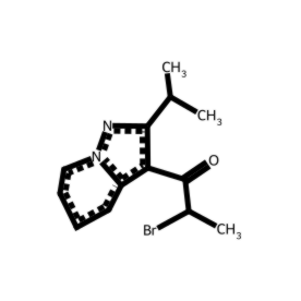 CC(Br)C(=O)c1c(C(C)C)nn2ccccc12